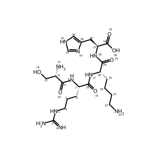 N=C(N)NCCC[C@H](NC(=O)[C@@H](N)CO)C(=O)N[C@@H](CCCCN)C(=O)N[C@@H](Cc1c[nH]cn1)C(=O)O